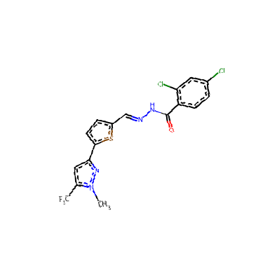 Cn1nc(-c2ccc(C=NNC(=O)c3ccc(Cl)cc3Cl)s2)cc1C(F)(F)F